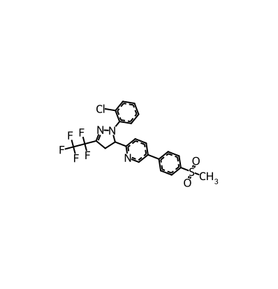 CS(=O)(=O)c1ccc(-c2ccc(C3CC(C(F)(F)C(F)(F)F)=NN3c3ccccc3Cl)nc2)cc1